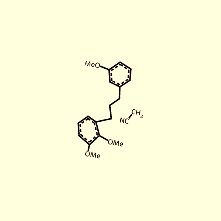 CC#N.COc1cccc(CCCc2cccc(OC)c2OC)c1